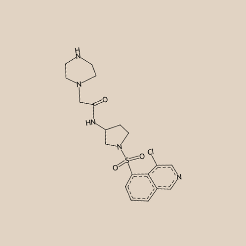 O=C(CN1CCNCC1)NC1CCN(S(=O)(=O)c2cccc3cncc(Cl)c23)C1